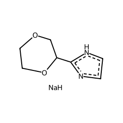 [NaH].c1c[nH]c(C2COCCO2)n1